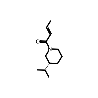 C/C=C/C(=O)N1CCC[C@H](C(C)C)C1